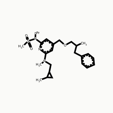 CCCN(c1cc(COCC(C)Cc2ccccc2)cc(N(C)CC2CC2C)n1)S(C)(=O)=O